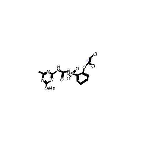 COc1nc(C)nc(NC(=O)NS(=O)(=O)c2ccccc2O/C(Cl)=C/Cl)n1